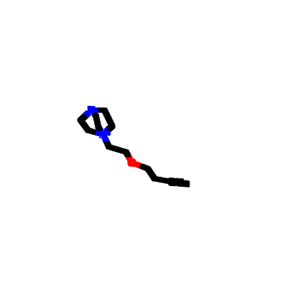 COCCOCC[N+]12CCN(CC1)CC2